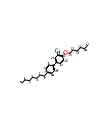 CCCCCCCc1ccc(-c2ccc(OCCCCCC)c(Cl)c2)cc1